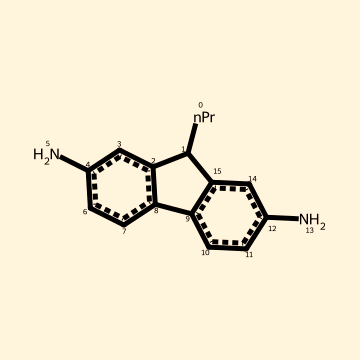 CCCC1c2cc(N)ccc2-c2ccc(N)cc21